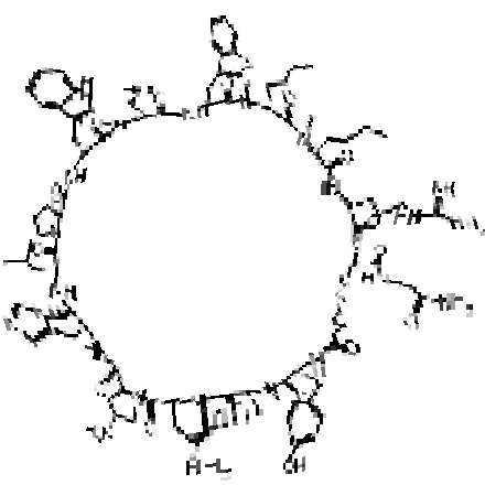 CCCC[C@H]1C(=O)N(C)[C@@H](CCCC)C(=O)N[C@@H](CCCNC(=N)N)C(=O)N[C@H](C(=O)NCC(N)=O)CSCC(=O)N[C@@H](Cc2ccc(O)cc2)C(=O)N(C)[C@@H](C)C(=O)N[C@@H](CC(N)=O)C(=O)N2C[C@@H](N)CC2C(=O)N[C@@H](Cc2cnc[nH]2)C(=O)N[C@@H](CC(C)C)C(=O)N2CCC[C@H]2C(=O)N[C@@H](Cc2c[nH]c3ccccc23)C(=O)N[C@@H](CO)C(=O)NC(Cc2csc3ccccc23)C(=O)N1C